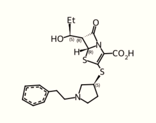 CC[C@H](O)[C@@H]1C(=O)N2C(C(=O)O)=C(S[C@H]3CCN(CCc4ccccc4)C3)S[C@H]12